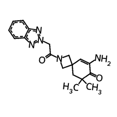 CC1(C)CC2(C=C(N)C1=O)CN(C(=O)Cn1nc3ccccc3n1)C2